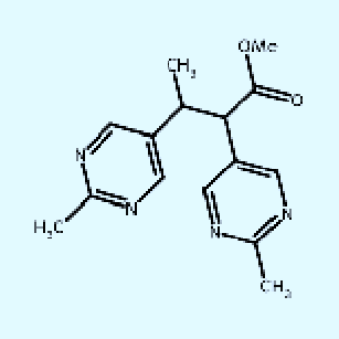 COC(=O)C(c1cnc(C)nc1)C(C)c1cnc(C)nc1